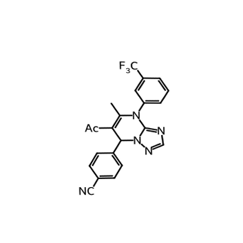 CC(=O)C1=C(C)N(c2cccc(C(F)(F)F)c2)c2ncnn2C1c1ccc(C#N)cc1